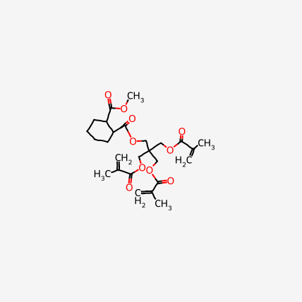 C=C(C)C(=O)OCC(COC(=O)C(=C)C)(COC(=O)C(=C)C)COC(=O)C1CCCCC1C(=O)OC